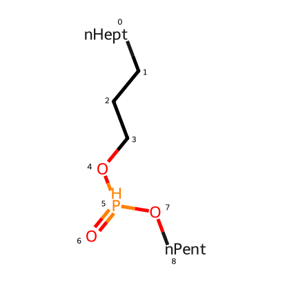 CCCCCCCCCCO[PH](=O)OCCCCC